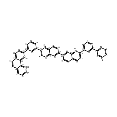 c1cncc(-c2cccc(-c3ccc4ccc(-c5ccc6nc(-c7cccc(-c8ccc9ccc%10cccnc%10c9n8)c7)ccc6c5)cc4n3)c2)c1